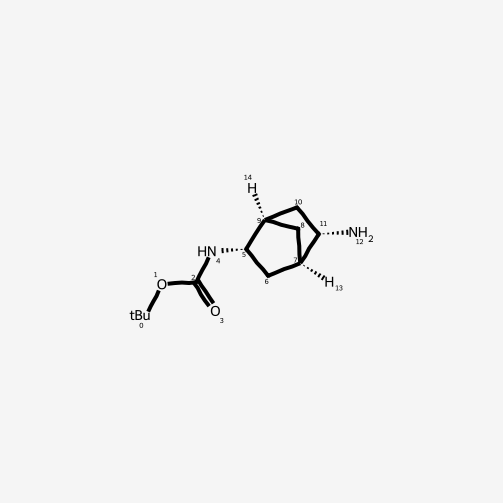 CC(C)(C)OC(=O)N[C@H]1C[C@H]2C[C@@H]1C[C@@H]2N